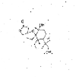 CC1(CO)CCC[C@@]2(C)[C@H]1CC[C@@](C)(O)[C@]21CC[C@@]2(COC(=O)C2)O1